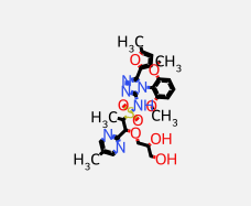 COc1cccc(OC)c1-n1c(NS(=O)(=O)C(C)C(OCC(O)CO)c2ncc(C)cn2)nnc1-c1ccc(C)o1